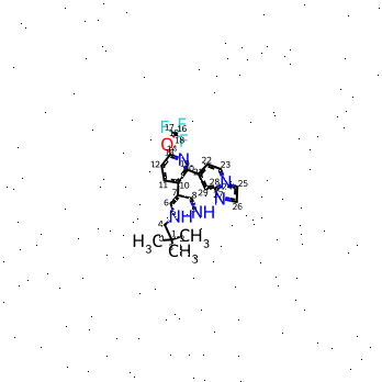 CC(C)(C)CN/C=C(\C=N)c1ccc(OC(F)(F)F)nc1-c1ccn2ccnc2c1